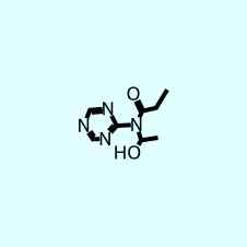 CCC(=O)N(c1ncncn1)C(C)O